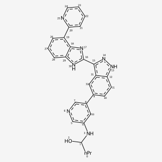 CCCC(O)Nc1cncc(-c2ccc3[nH]nc(-c4nc5c(-c6ccccn6)cccc5[nH]4)c3c2)c1